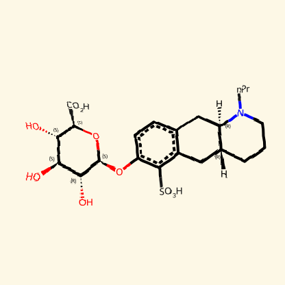 CCCN1CCC[C@@H]2Cc3c(ccc(O[C@@H]4O[C@H](C(=O)O)[C@@H](O)[C@H](O)[C@H]4O)c3S(=O)(=O)O)C[C@H]21